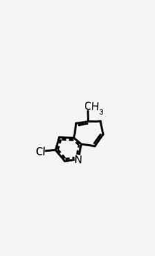 CC1=Cc2cc(Cl)cnc2C=CC1